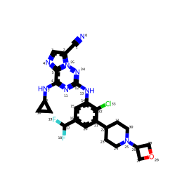 N#Cc1cnc2c(NC3CC3)nc(Nc3cc(C(F)F)cc(C4CCN(C5COC5)CC4)c3Cl)nn12